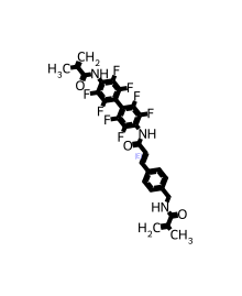 C=C(C)C(=O)NCc1ccc(/C=C/C(=O)Nc2c(F)c(F)c(-c3c(F)c(F)c(NC(=O)C(=C)C)c(F)c3F)c(F)c2F)cc1